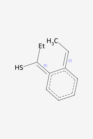 C/C=c1/cccc/c1=C(\S)CC